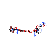 CC(C)[C@H](NC(=O)CCOCCOCCOCCOCCNC(=O)CCN1C(=O)C=CC1=O)C(=O)N[C@@H](CCCNC(N)=O)C(=O)I